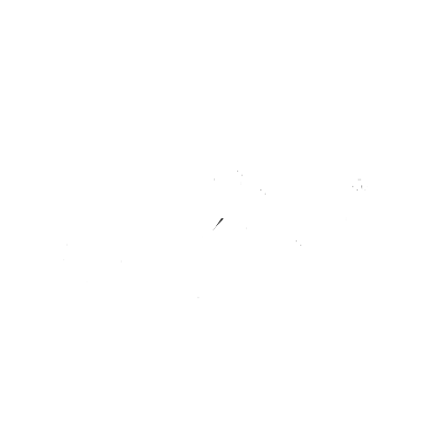 CC[C@]1(COCC(F)(F)F)CC[C@@H](c2c(CN(C)CCNC)nn3c2CC(F)(F)C3)CC1